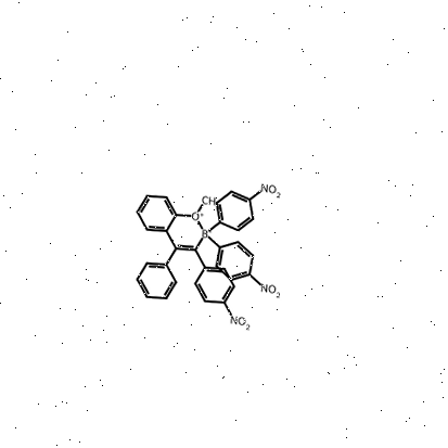 C[O+]1c2ccccc2C(c2ccccc2)=C(c2ccc([N+](=O)[O-])cc2)[B-]1(c1ccc([N+](=O)[O-])cc1)c1ccc([N+](=O)[O-])cc1